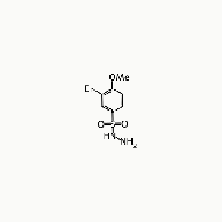 COc1ccc(S(=O)(=O)NN)cc1Br